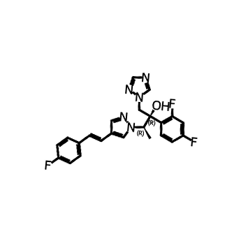 C[C@@H](n1cc(C=Cc2ccc(F)cc2)cn1)[C@](O)(Cn1cncn1)c1ccc(F)cc1F